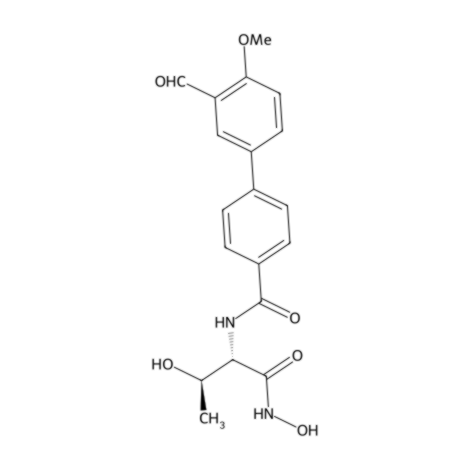 COc1ccc(-c2ccc(C(=O)N[C@H](C(=O)NO)[C@@H](C)O)cc2)cc1C=O